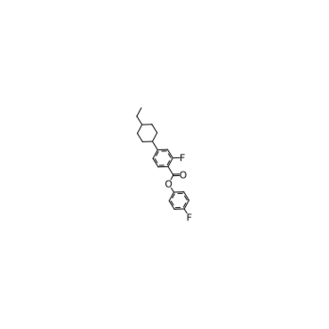 CCC1CCC(c2ccc(C(=O)Oc3ccc(F)cc3)c(F)c2)CC1